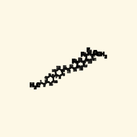 CCCC1CCC(C2CCC(/C=C/CCc3ccc(-c4ccc(OC)c(F)c4F)cc3F)CC2)CC1